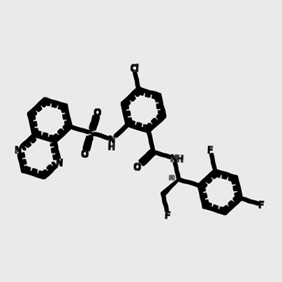 O=C(N[C@H](CF)c1ccc(F)cc1F)c1ccc(Cl)cc1NS(=O)(=O)c1cccc2nccnc12